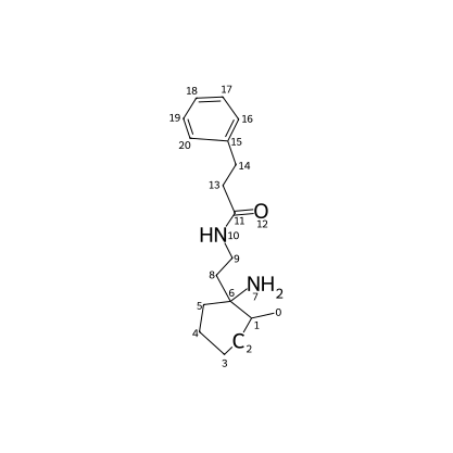 CC1CCCCC1(N)CCNC(=O)CCc1ccccc1